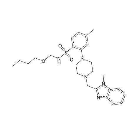 CCCCOCNS(=O)(=O)c1ccc(C)cc1N1CCN(Cc2nc3ccccc3n2C)CC1